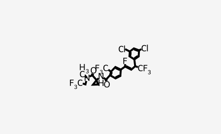 CN(CC(F)(F)F)C(=O)C1(NC(=O)c2ccc(C(F)=CC(c3cc(Cl)cc(Cl)c3)C(F)(F)F)cc2C(F)(F)F)CC1